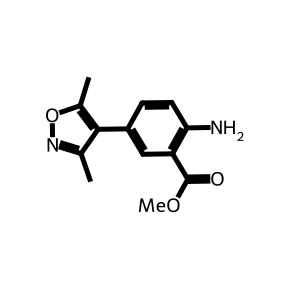 COC(=O)c1cc(-c2c(C)noc2C)ccc1N